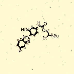 CCCCC(CC)COC(=O)Nc1ccc(-n2nc3ccc(F)cc3n2)c(O)c1